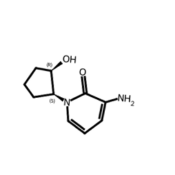 Nc1cccn([C@H]2CCC[C@H]2O)c1=O